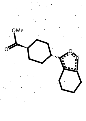 COC(=O)[C@H]1CC[C@H](c2onc3c2CCCC3)CC1